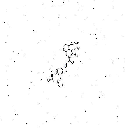 CCCOc1c(CN(C)C(=O)/C=C/c2cnc3c(c2)CN(C)CC(=O)N3)cccc1OC